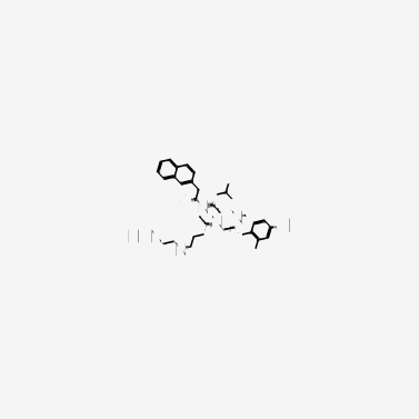 Cc1cc(Cl)ccc1C[C@H](CN1C[C@@H](CC(C)C)N(C(=O)Cc2ccc3ccccc3c2)C[C@@H]1CCCN(C)CCN)N(C)C